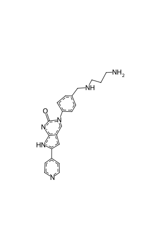 NCCCNCc1ccc(-n2cc3cc(-c4ccncc4)[nH]c3nc2=O)cc1